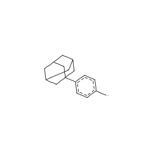 [CH2]c1ccc(C23CC4CC(CC(C4)C2)C3)cc1